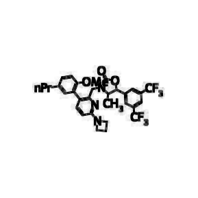 CCCc1ccc(OC)c(-c2ccc(N3CCC3)nc2CN2C(=O)OC(c3cc(C(F)(F)F)cc(C(F)(F)F)c3)C2C)c1